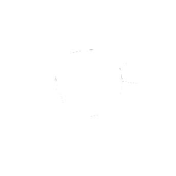 O=C1CCCCCCCCCCCCCC1Br